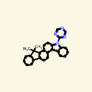 CC1(C)c2ccccc2-c2ccc3c(ccc4c3c3ccccc3n4-c3ncncn3)c21